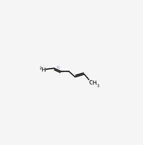 [2H]/C=C/CC=CC